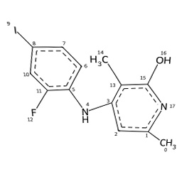 Cc1cc(Nc2ccc(I)cc2F)c(C)c(O)n1